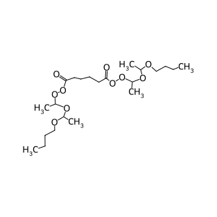 CCCCOC(C)OC(C)OOC(=O)CCCCC(=O)OOC(C)OC(C)OCCCC